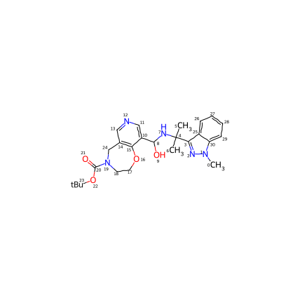 Cn1nc(C(C)(C)NC(O)c2cncc3c2OCCN(C(=O)OC(C)(C)C)C3)c2ccccc21